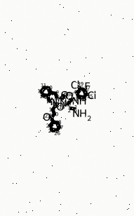 NCC[C@H](NC(=O)[C@@H]1Cc2ccccc2CN1C(=O)CCC(=O)c1ccccc1)C(=O)Nc1cc(Cl)c(F)c(Cl)c1